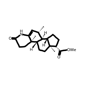 COC(=O)[C@H]1CC[C@H]2[C@@H]3[C@@H](C)C=C4NC(=O)CC[C@]4(C)[C@H]3CC[C@]12C